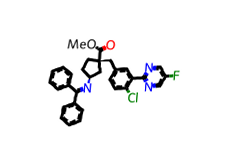 COC(=O)[C@@]1(Cc2ccc(Cl)c(-c3ncc(F)cn3)c2)CC[C@H](N=C(c2ccccc2)c2ccccc2)C1